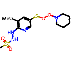 COc1cc(SOON2CCCCC2)cnc1NNS(C)(=O)=O